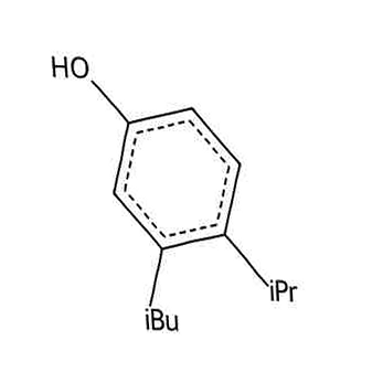 CCC(C)c1cc(O)ccc1C(C)C